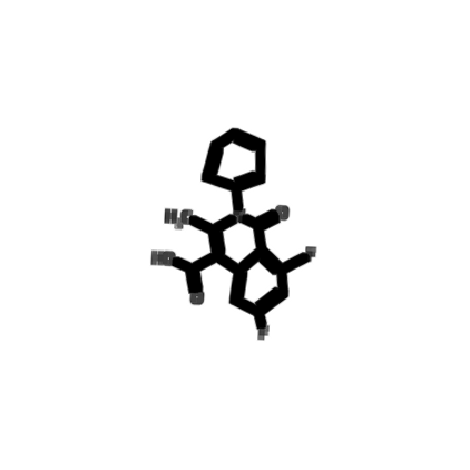 Cc1c(C(=O)O)c2cc(F)cc(F)c2c(=O)n1-c1ccccc1